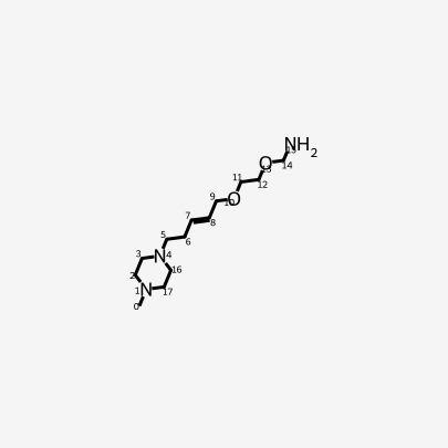 CN1CCN(CC/C=C/COCCOCN)CC1